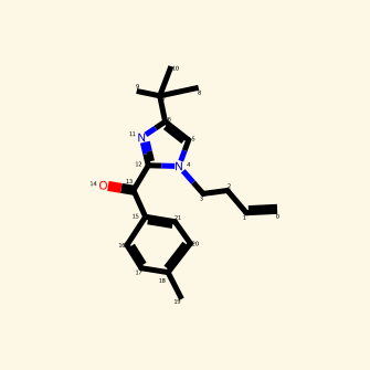 C=CCCn1cc(C(C)(C)C)nc1C(=O)c1ccc(C)cc1